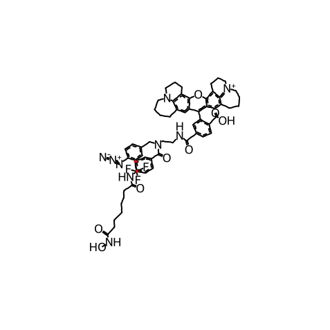 [N-]=[N+]=Nc1ccc(CN(CCNC(=O)c2ccc(C(=O)O)c(C3=c4cc5c6c(c4Oc4c3cc3c7c4CCCN7CCCC3)CCC[N+]=6CCCC5)c2)C(=O)c2ccc(NC(=O)CCCCCCC(=O)NO)cc2)cc1C(F)(F)F